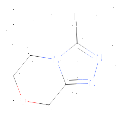 CCc1nnc2n1CCOC2